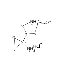 Cl.NC1(C2CNC(=O)C2)CC1